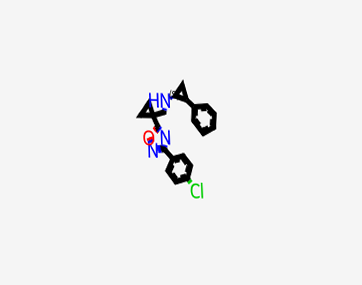 Clc1ccc(-c2noc(C3(CN[C@H]4CC4c4ccccc4)CC3)n2)cc1